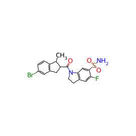 CC1c2ccc(Br)cc2CC1C(=O)N1CCc2cc(F)c(S(N)(=O)=O)cc21